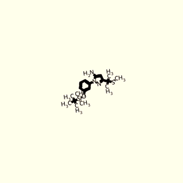 CSC(C)(C)c1cc(N)n(-c2cccc(O[Si](C)(C)C(C)(C)C)c2)n1